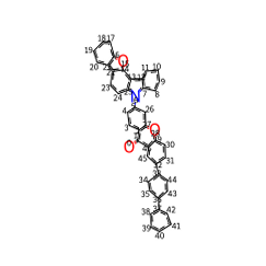 O=c1c2ccc(-n3c4ccccc4c4c5oc6ccccc6c5ccc43)cc2oc2ccc(-c3ccc(-c4ccccc4)cc3)cc12